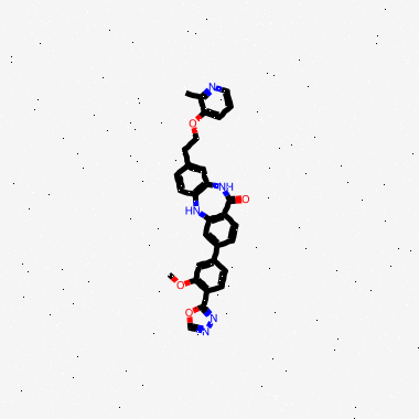 COc1cc(-c2ccc3c(c2)Nc2ccc(CCOc4cccnc4C)cc2NC3=O)ccc1-c1nnco1